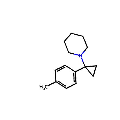 Cc1ccc(C2(N3CCCCC3)CC2)cc1